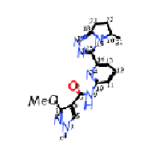 COc1nn(C)cc1C(=O)Nc1cccc(-c2nnc3n2[C@H](C)CC3)n1